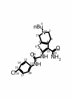 CCCCN1CCc2c(sc(NC(=O)Nc3ccc(Cl)cc3)c2C(N)=O)C1